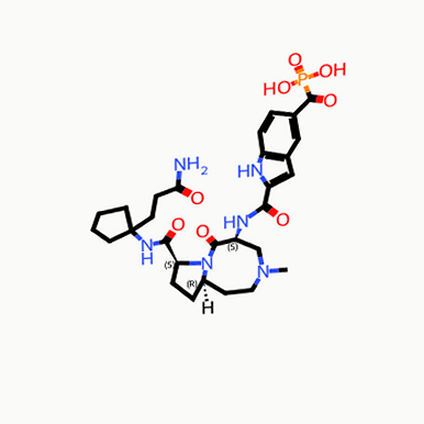 CN1CC[C@H]2CC[C@@H](C(=O)NC3(CCC(N)=O)CCCC3)N2C(=O)[C@@H](NC(=O)c2cc3cc(C(=O)P(=O)(O)O)ccc3[nH]2)C1